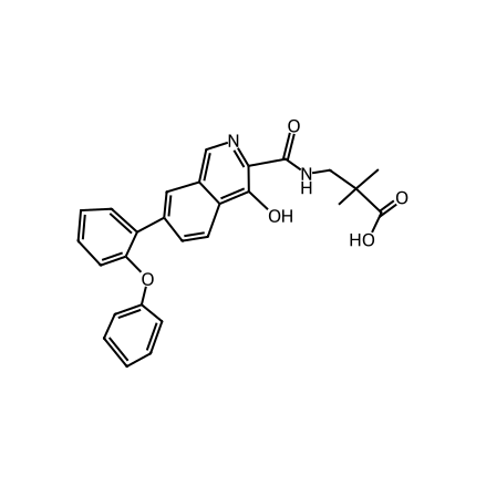 CC(C)(CNC(=O)c1ncc2cc(-c3ccccc3Oc3ccccc3)ccc2c1O)C(=O)O